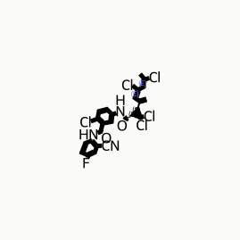 C=C(/C=C(Cl)\C=C(/C)Cl)[C@@H]1[C@@H](C(=O)Nc2ccc(Cl)c(C(=O)Nc3ccc(F)cc3C#N)c2)C1(Cl)Cl